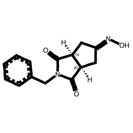 O=C1[C@H]2CC(=NO)C[C@H]2C(=O)N1Cc1ccccc1